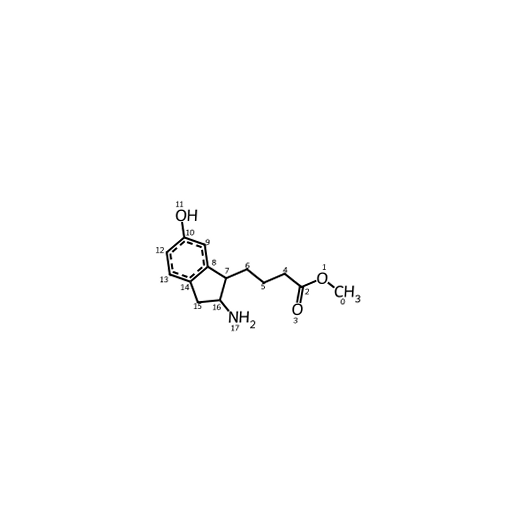 COC(=O)CCCC1c2cc(O)ccc2CC1N